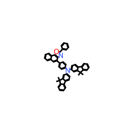 CC1(C)c2ccccc2-c2ccc(N(c3ccc(-c4cc5ccccc5c5oc(-c6ccccc6)nc45)cc3)c3ccc4c(c3)C(C)(C)c3ccccc3-4)cc21